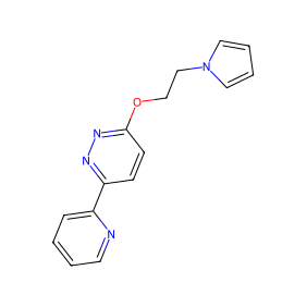 c1ccc(-c2ccc(OCCn3cccc3)nn2)nc1